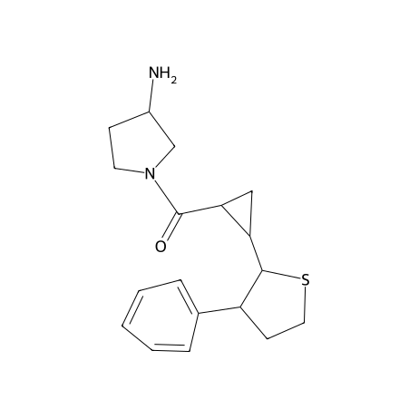 NC1CCN(C(=O)C2CC2C2SCCC2c2ccccc2)C1